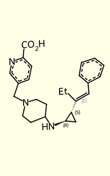 CC/C(=C\c1ccccc1)[C@@H]1C[C@H]1NC1CCN(Cc2ccc(C(=O)O)nc2)CC1